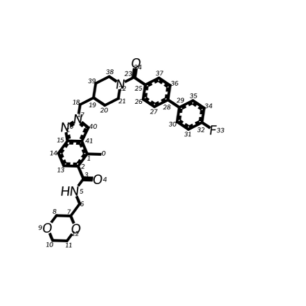 Cc1c(C(=O)NCC2COCCO2)ccc2nn(CC3CCN(C(=O)c4ccc(-c5ccc(F)cc5)cc4)CC3)cc12